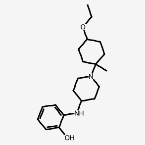 CCOC1CCC(C)(N2CCC(Nc3ccccc3O)CC2)CC1